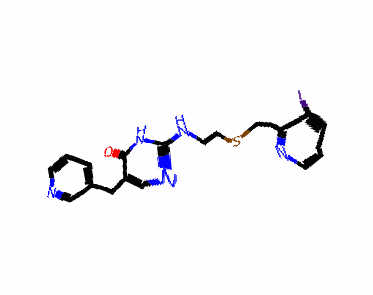 O=c1[nH]c(NCCSCc2ncccc2I)ncc1Cc1cccnc1